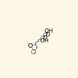 O=C(O)CC(=O)CC(O)/C=C/C=C1\C=CC2=C(CCC=C2)c2ccccc21